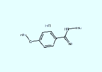 CCCCNC(=N)c1ccc(OCCCC)cc1.Cl